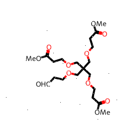 COC(=O)CCOCC(COCCC=O)(COCCC(=O)OC)COCCC(=O)OC